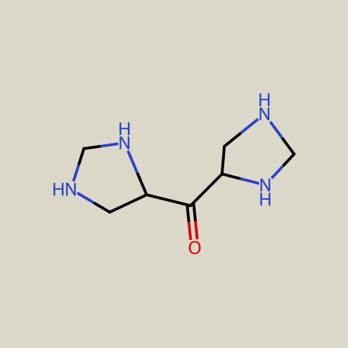 O=C(C1CNCN1)C1CNCN1